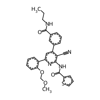 CCCNC(=O)c1cccc(-c2cc(-c3ccccc3OCOC)nc(NC(=O)c3cccs3)c2C#N)c1